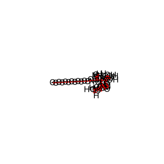 CC[C@H](C)[C@@H]([C@@H](CC(=O)C1CCCC1[C@H](OC)[C@@H](C)C(=O)N[C@H](C)[C@@H](O)c1ccccc1)OC)N(C)C(=O)[C@@H](NC(=O)[C@H](C(C)C)N(C)C(=O)OCc1ccc(O[C@@H]2O[C@H](C(=O)O)[C@@H](O)[C@H](O)[C@H]2O)c(NC(=O)CCNC(=O)[C@H](CCCCNC(=O)CCOCCOCCOCCOCCOCCOCCOCCOCCOCCOCCOCCOC)NC(=O)[C@H](CN)N2C(=O)C=CC2=O)c1)C(C)C